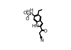 CCc1cc2cc(C(=O)CC#N)[nH]c2cc1N[SH](=O)=O